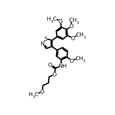 COCCCOC(=O)Nc1cc(-c2cnsc2-c2cc(OC)c(OC)c(OC)c2)ccc1OC